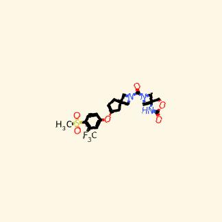 CS(=O)(=O)c1ccc(O[C@H]2CCC3(C2)CN(C(=O)N2CC4(COC(=O)N4)C2)C3)cc1C(F)(F)F